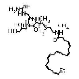 C.CC/C=C\C/C=C\C/C=C\C/C=C\C/C=C\C/C=C\CCC(=O)NCCSSC(C)(C)C(NC(=O)CNC(=N)N)C(=O)NCC(O)CO